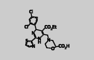 CCOC(=O)C1=C(CN2CCOC(C(=O)O)C2)NC(c2nccs2)=NC1c1ccc(Cl)cc1Cl